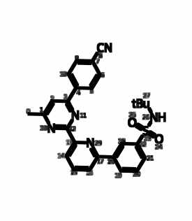 Cc1cc(-c2ccc(C#N)cc2)nc(-c2cccc(-c3cccc(S(=O)(=O)NC(C)(C)C)c3)n2)n1